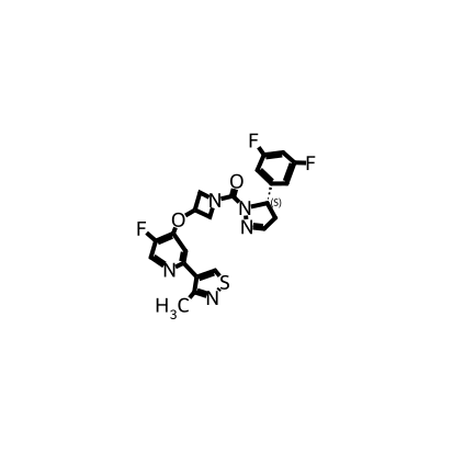 Cc1nscc1-c1cc(OC2CN(C(=O)N3N=CC[C@H]3c3cc(F)cc(F)c3)C2)c(F)cn1